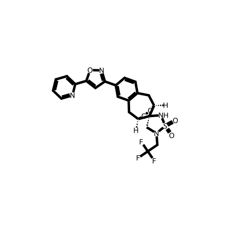 O=S1(=O)N[C@@]2(CN1CC(F)(F)F)[C@@H]1CC[C@H]2Cc2ccc(-c3cc(-c4ccccn4)on3)cc2C1